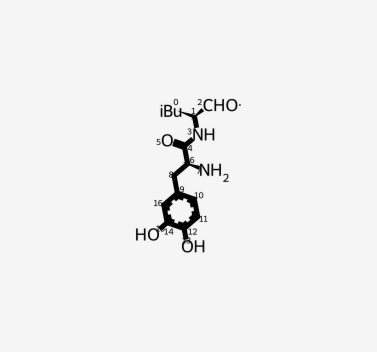 CC[C@H](C)[C@@H]([C]=O)NC(=O)[C@@H](N)Cc1ccc(O)c(O)c1